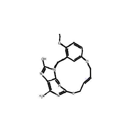 COc1ccc2cc1Cn1c(O)nc3c(N)nc(nc31)OC/C=C/CO2